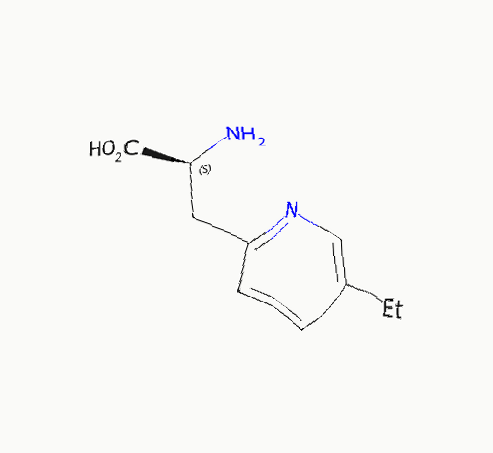 CCc1ccc(C[C@H](N)C(=O)O)nc1